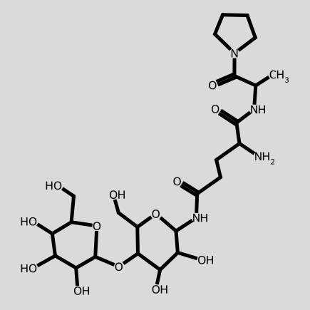 CC(NC(=O)C(N)CCC(=O)NC1OC(CO)C(OC2OC(CO)C(O)C(O)C2O)C(O)C1O)C(=O)N1CCCC1